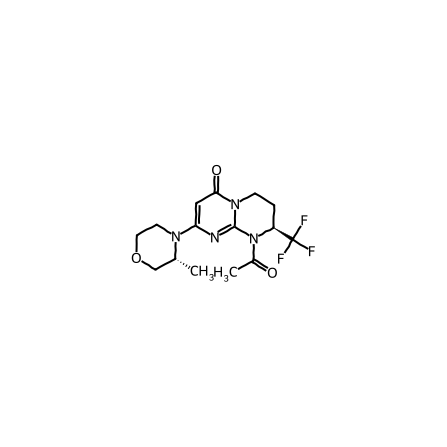 CC(=O)N1c2nc(N3CCOC[C@H]3C)cc(=O)n2CC[C@H]1C(F)(F)F